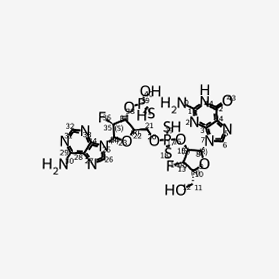 Nc1nc2c(ncn2[C@@H]2O[C@H](CO)[C@@H](F)[C@H]2OP(=S)(S)OC[C@H]2O[C@@H](n3cnc4c(N)ncnc43)[C@@H](F)[C@@H]2O[PH](O)=S)c(=O)[nH]1